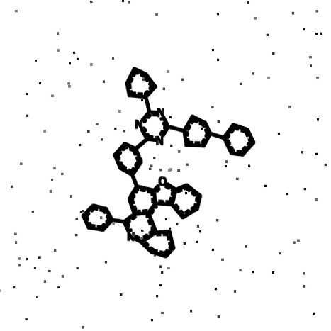 c1ccc(-c2ccc(-c3nc(-c4ccccc4)nc(-c4cccc(-c5cc6c(-c7ccccc7)nc7ccccc7c6c6c5oc5ccccc56)c4)n3)cc2)cc1